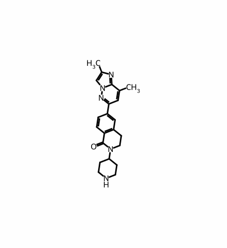 Cc1cn2nc(-c3ccc4c(c3)CCN(C3CCNCC3)C4=O)cc(C)c2n1